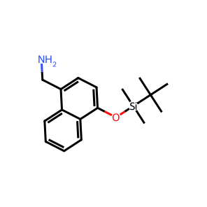 CC(C)(C)[Si](C)(C)Oc1ccc(CN)c2ccccc12